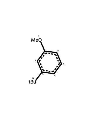 COc1cccc(C(C)(C)C)c1